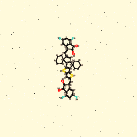 O=C1C(=O)c2c(F)cc(F)cc2/C1=C/C1=CC2=C(c3sc4cc(/C=C5\C(=O)C(=O)c6c(F)cc(F)cc65)sc4c3C23CCCCC3)C12CCCCC2